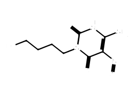 CCCCCn1c(=O)[nH]c(N)c(N=O)c1=O